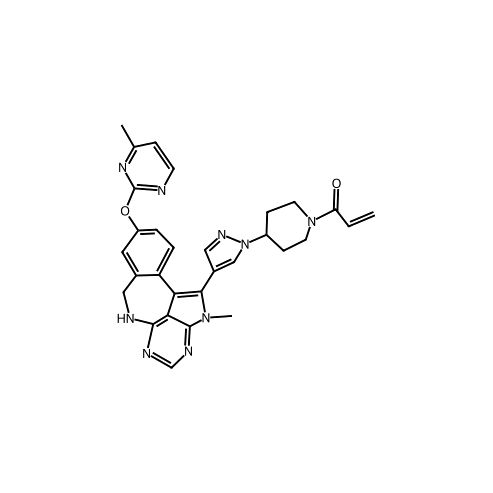 C=CC(=O)N1CCC(n2cc(-c3c4c5c(ncnc5n3C)NCc3cc(Oc5nccc(C)n5)ccc3-4)cn2)CC1